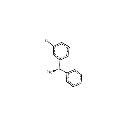 O[C@H](c1ccccc1)c1cccc(Cl)c1